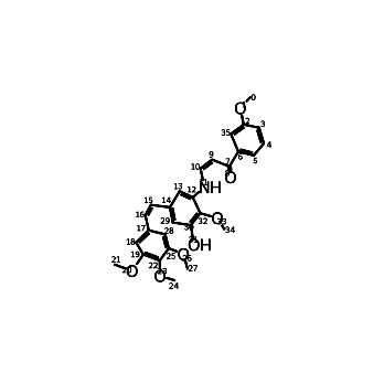 COc1cccc(C(=O)/C=C\Nc2cc(/C=C\c3cc(OC)c(OC)c(OC)c3)cc(O)c2OC)c1